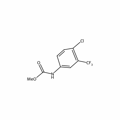 COC(=O)Nc1ccc(Cl)c(C(F)(F)F)c1